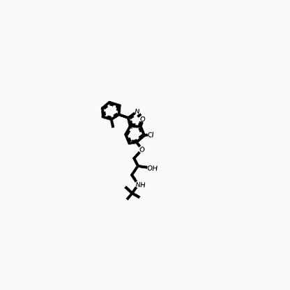 Cc1ccccc1-c1noc2c(Cl)c(OCC(O)CNC(C)(C)C)ccc12